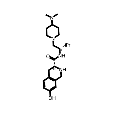 CC(C)[C@@H](CN1CCC(N(C)C)CC1)NC(=O)[C@H]1Cc2ccc(O)cc2CN1